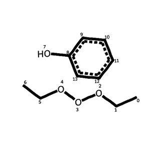 CCOOOCC.Oc1ccccc1